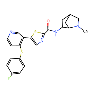 N#CN1CC2CC(NC(=O)c3ncc(-c4cnccc4Sc4ccc(F)cc4)s3)C1C2